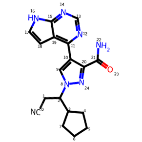 N#CCC(C1CCCC1)n1cc(-c2ncnc3[nH]ccc23)c(C(N)=O)n1